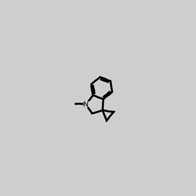 CN1CC2(CC2)c2ccccc21